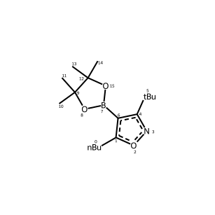 CCCCc1onc(C(C)(C)C)c1B1OC(C)(C)C(C)(C)O1